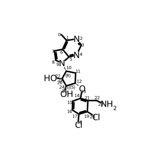 Cc1ncnc2c1ccn2[C@@H]1C[C@H](Oc2ccc(Cl)c(Cl)c2CN)[C@@H](O)[C@H]1O